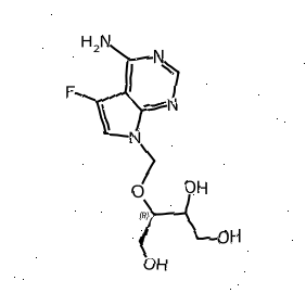 Nc1ncnc2c1c(F)cn2CO[C@H](CO)C(O)CO